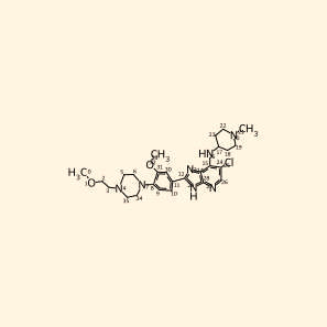 COCCN1CCN(c2ccc(-c3nc4c(NC5CCN(C)CC5)c(Cl)cnc4[nH]3)cc2OC)CC1